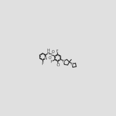 CC1(N2CCC2)CCN(c2cc(F)c(S(=O)(=O)Nc3cccc(F)n3)c(F)c2Cl)C1